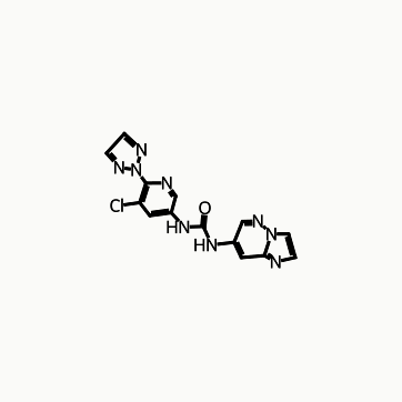 O=C(Nc1cnc(-n2nccn2)c(Cl)c1)Nc1cnn2ccnc2c1